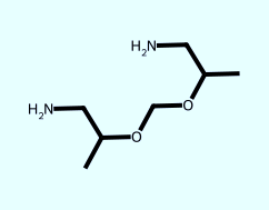 CC(CN)OCOC(C)CN